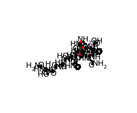 NCCCC[C@H](NC(=O)[C@H](CCC(=O)O)NC(=O)[C@H](Cc1ccccc1)NC(=O)[C@H](CCC(N)=O)NC(=O)[C@@H]1CCCN1C(=O)[C@H](Cc1c[nH]cn1)NC(=O)[C@H](CO)NC(=O)[C@H](Cc1c[nH]c2ccccc12)NC(=O)[C@H](CO)NC(=O)CNC(=O)CNC(=O)CNC(=O)[C@H](CO)NC(=O)CNC(=O)CN)C(=O)O